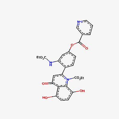 CCOC(=O)Nc1cc(OC(=O)c2cccnc2)ccc1-c1cc(=O)c2c(O)ccc(O)c2n1C(=O)OCC